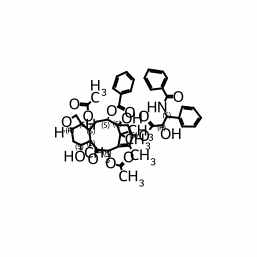 CC(=O)O[C@H]1C(=O)[C@@]2(C)[C@H](C[C@H](OC(=O)c3ccccc3)[C@]3(O)C[C@H](OC(=O)[C@H](O)[C@@H](NC(=O)c4ccccc4)c4ccccc4)C(C)=C1C3(C)C)[C@]1(OC(C)=O)CO[C@@H]1C[C@@H]2O